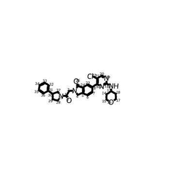 O=C(CN1Cc2ccc(-c3nc(NC4CCOCC4)ncc3Cl)cc2C1=O)N1CCC(c2ccccc2)C1